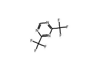 FC(F)(F)c1n[c]nc(C(F)(F)F)n1